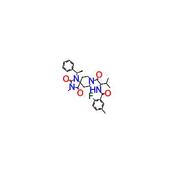 Cc1ccc(F)c(C(=O)N[C@@H](C(=O)N2CCC3(CC2)C(=O)N(C)C(=O)N3[C@H](C)c2ccccc2)C(C)C)c1